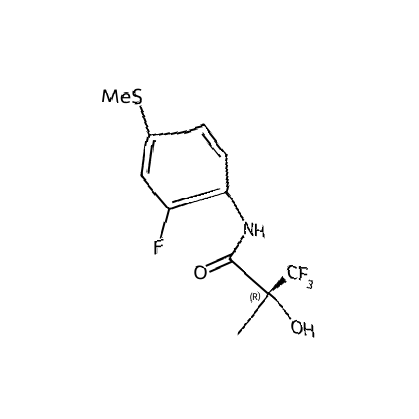 CSc1ccc(NC(=O)[C@@](C)(O)C(F)(F)F)c(F)c1